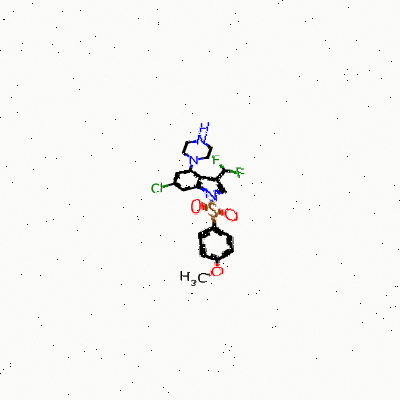 COc1ccc(S(=O)(=O)n2cc(C(F)F)c3c(N4CCNCC4)cc(Cl)cc32)cc1